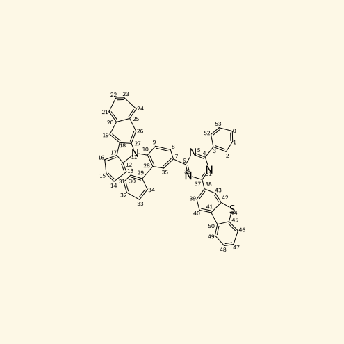 c1ccc(-c2nc(-c3ccc(-n4c5ccccc5c5cc6ccccc6cc54)c(-c4ccccc4)c3)nc(-c3ccc4c(c3)sc3ccccc34)n2)cc1